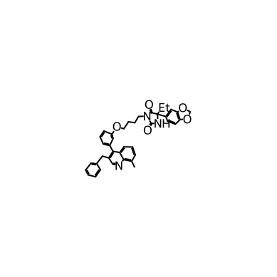 CCC1(c2ccc3c(c2)OCO3)NC(=O)N(CCCCOc2cccc(-c3c(Cc4ccccc4)cnc4c(C)cccc34)c2)C1=O